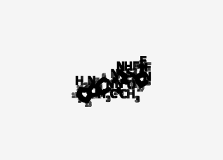 CC(C)n1c(N2CCC3(CC2)Cc2ccccc2[C@H]3N)nc(N)c(Sc2cccnc2C(F)(F)F)c1=O